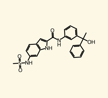 CC(O)(c1ccccc1)c1cccc(NC(=O)c2cc3ccc(NS(C)(=O)=O)cc3[nH]2)c1